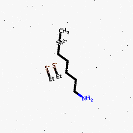 CC[S-].CC[S-].[CH3][Sn+2][CH2]CCCCN